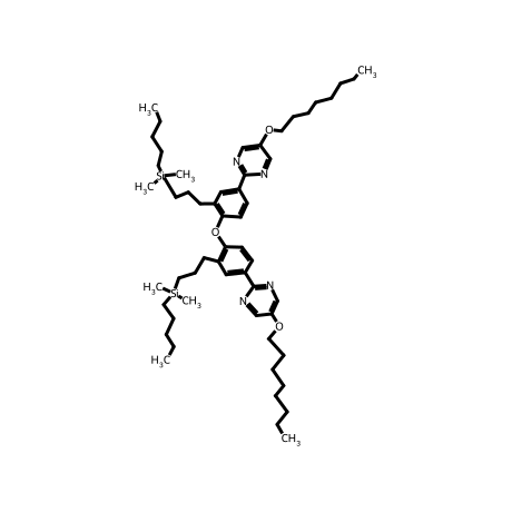 CCCCCCCCOc1cnc(-c2ccc(Oc3ccc(-c4ncc(OCCCCCCCC)cn4)cc3CCC[Si](C)(C)CCCCC)c(CCC[Si](C)(C)CCCCC)c2)nc1